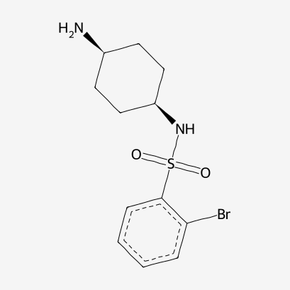 N[C@H]1CC[C@@H](NS(=O)(=O)c2ccccc2Br)CC1